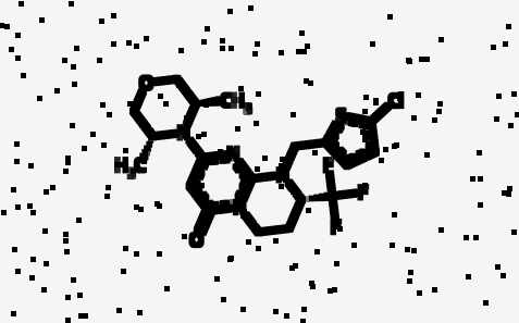 C[C@@H]1COC[C@@H](C)N1c1cc(=O)n2c(n1)N(Cc1ccc(Cl)s1)[C@H](C(F)(F)F)CC2